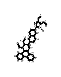 C=Cc1nc(-c2ccc3cc(C4=Cc5c(c6ccccc6c6ccccc56)C(C=C)C4C=C)ccc3c2)n(C)c1C=C